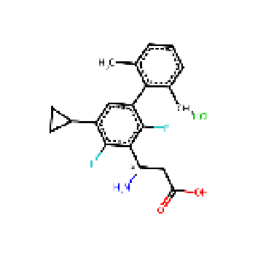 Cc1cccc(C)c1-c1cc(C2CC2)c(F)c([C@@H](N)CC(=O)O)c1F.Cl